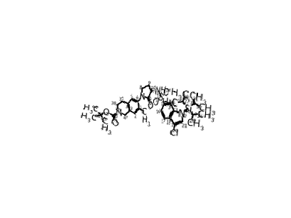 Cc1cc2c(cc1N1CC[C@H](NS(=O)(=O)c3ccc4c(Cl)cn([Si](C(C)C)(C(C)C)C(C)C)c4c3)C1=O)CCN(C(=O)OC(C)(C)C)C2